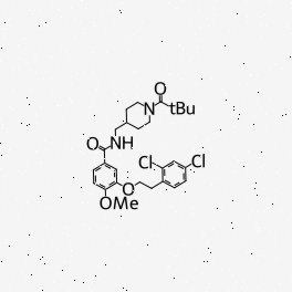 COc1ccc(C(=O)NCC2CCN(C(=O)C(C)(C)C)CC2)cc1OCCc1ccc(Cl)cc1Cl